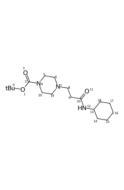 CC(C)(C)OC(=O)N1CCN(CCC(=O)NC2CC[CH]CC2)CC1